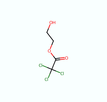 O=C(OCCO)C(Cl)(Cl)Cl